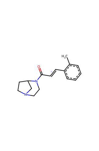 Cc1ccccc1/C=C/C(=O)N1CCN2CCC1C2